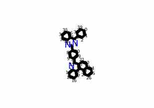 c1ccc(-c2nc(-c3ccc(-c4nc5ccccc5c5c4ccc4ccccc45)cc3)nc3ccccc23)cc1